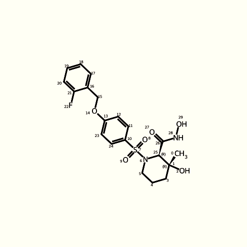 C[C@@]1(O)CCCN(S(=O)(=O)c2ccc(OCc3ccccc3F)cc2)[C@H]1C(=O)NO